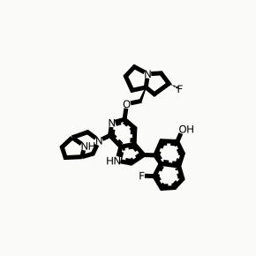 Oc1cc(-c2c[nH]c3c(N4CC5CCC(C4)N5)nc(OC[C@@]45CCCN4C[C@H](F)C5)cc23)c2c(F)cccc2c1